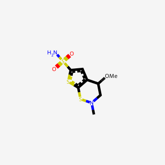 COC1CN(C)Sc2sc(S(N)(=O)=O)cc21